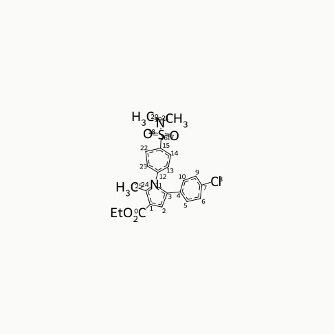 CCOC(=O)c1cc(-c2ccc(Cl)cc2)n(-c2ccc(S(=O)(=O)N(C)C)cc2)c1C